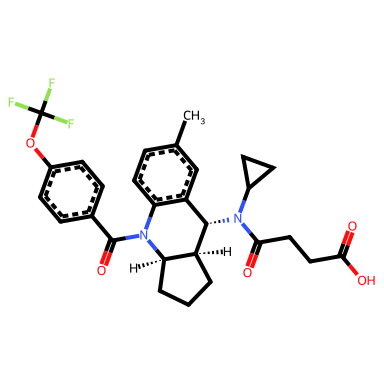 Cc1ccc2c(c1)[C@H](N(C(=O)CCC(=O)O)C1CC1)[C@H]1CCC[C@H]1N2C(=O)c1ccc(OC(F)(F)F)cc1